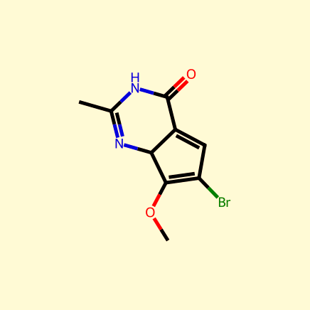 COC1=C(Br)C=C2C(=O)NC(C)=NC21